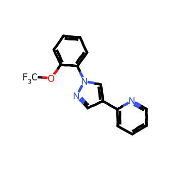 FC(F)(F)Oc1ccccc1-n1cc(-c2ccccn2)cn1